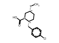 CS[C@@H]1CC[C@H](Cc2ccc(Cl)cc2)N(C(=O)O)C1